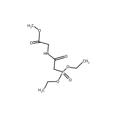 CCOP(=O)(CC(=O)NCC(=O)OC)OCC